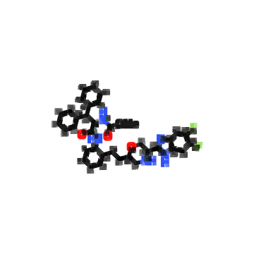 COC(=O)N[C@H](C(=O)Nc1ccccc1CC[C@@H]1CN[C@H](c2nc3cc(F)c(F)cc3[nH]2)CO1)C(c1ccccc1)c1ccccc1